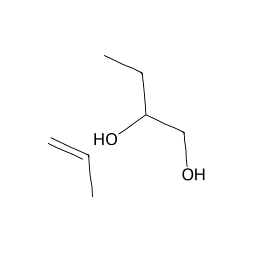 C=CC.CCC(O)CO